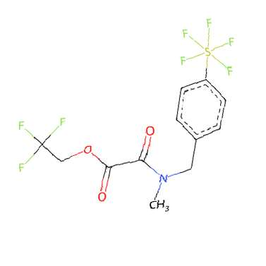 CN(Cc1ccc(S(F)(F)(F)(F)F)cc1)C(=O)C(=O)OCC(F)(F)F